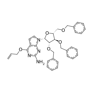 C=CCOc1nc(N)nc2c1ccn2[C@@H]1O[C@H](COCc2ccccc2)[C@@H](OCc2ccccc2)[C@@H]1OCc1ccccc1